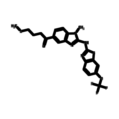 CSCCCC(=O)c1ccc2c(c1)nc(Nc1nc3ccc(OC(F)(F)F)cc3s1)n2C